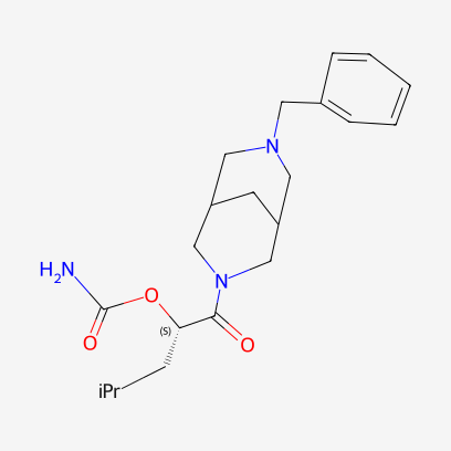 CC(C)C[C@H](OC(N)=O)C(=O)N1CC2CC(CN(Cc3ccccc3)C2)C1